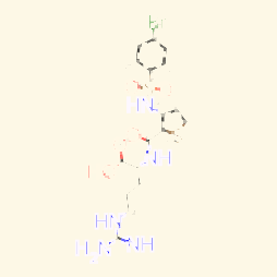 N=C(N)NCCC[C@H](NC(=O)c1sccc1NS(=O)(=O)c1ccc(Br)cc1)C(=O)O